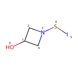 OC1CN(SI)C1